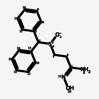 NC(CC[S+]([O-])C(c1ccccc1)c1ccccc1)=NO